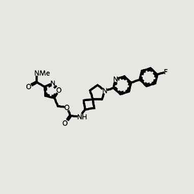 CNC(=O)c1cc(COC(=O)NC2CC3(CCN(c4ccc(-c5ccc(F)cc5)cn4)C3)C2)on1